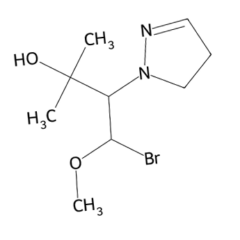 COC(Br)C(N1CCC=N1)C(C)(C)O